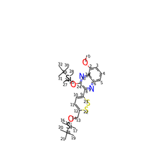 COc1cccc2nc(C3=CC=C(CO[Si](C)(C)C(C)(C)C)SS3)c(O[Si](C)(C)C(C)(C)C)nc12